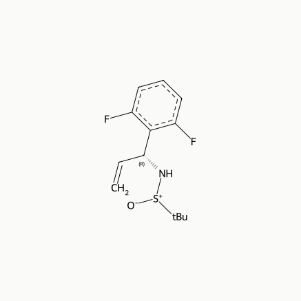 C=C[C@@H](N[S+]([O-])C(C)(C)C)c1c(F)cccc1F